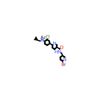 CC(=O)N(CC1CC1)c1ccc(-c2ccc(C(=O)NCc3ccc(Br)nc3)cn2)cc1Cl